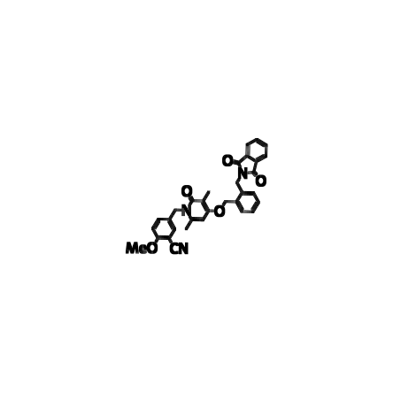 COc1ccc(Cn2c(C)cc(OCc3ccccc3CN3C(=O)c4ccccc4C3=O)c(C)c2=O)cc1C#N